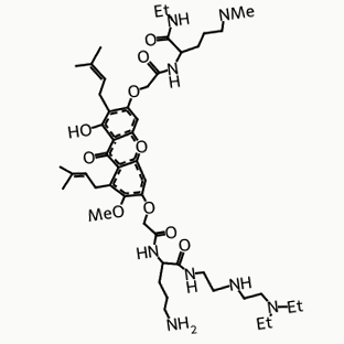 CCNC(=O)C(CCCNC)NC(=O)COc1cc2oc3cc(OCC(=O)NC(CCCN)C(=O)NCCNCCN(CC)CC)c(OC)c(CC=C(C)C)c3c(=O)c2c(O)c1CC=C(C)C